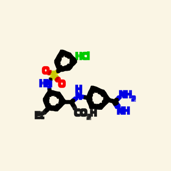 CCc1cc(NS(=O)(=O)c2ccccc2)cc(C(Nc2ccc(C(=N)N)cc2)C(=O)O)c1.Cl